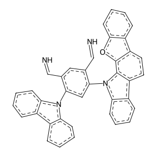 N=Cc1cc(C=N)c(-n2c3ccccc3c3ccc4c5ccccc5oc4c32)cc1-n1c2ccccc2c2ccccc21